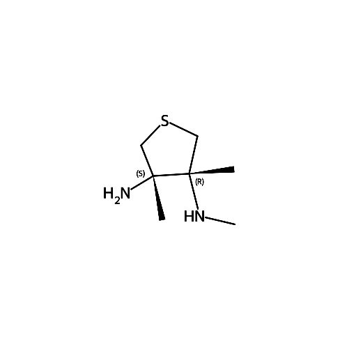 CN[C@@]1(C)CSC[C@@]1(C)N